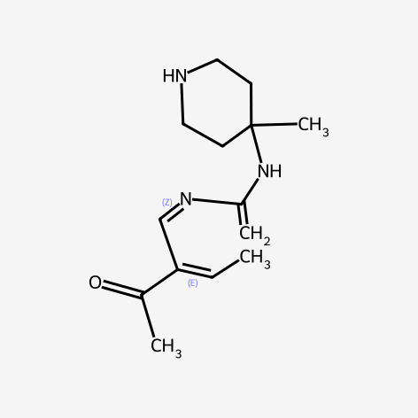 C=C(/N=C\C(=C/C)C(C)=O)NC1(C)CCNCC1